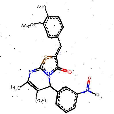 CCOC(=O)C1=C(C)N=c2s/c(=C\c3ccc(OC)c(OC)c3)c(=O)n2C1c1cccc([N+](C)=O)c1